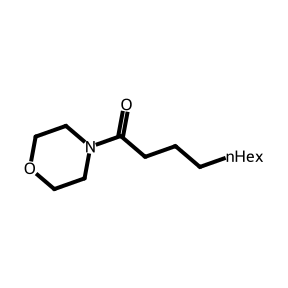 [CH2]CCCCCCCCC(=O)N1CCOCC1